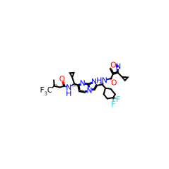 C[C@@H](CC(=O)N[C@H](c1ccn2cc([C@@H](NC(=O)c3conc3C3CC3)C3CCC(F)(F)CC3)nc2n1)C1CC1)C(F)(F)F